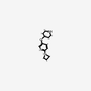 c1cc(N2CCC2)ncc1OC1CCNCC1